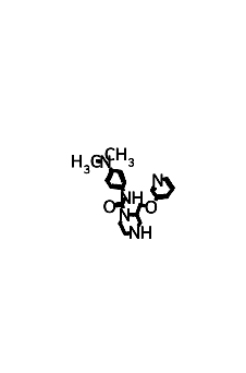 CN(C)c1ccc(NC(=O)N2CCNCC2COc2cccnc2)cc1